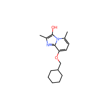 Cc1nc2c(OCC3CCCCC3)ccc(C)n2c1O